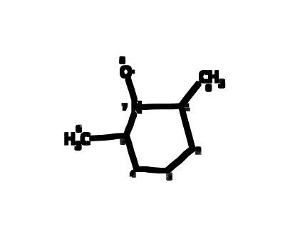 CC1CCCC(C)N1[O]